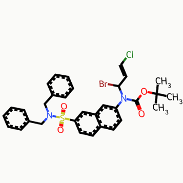 CC(C)(C)OC(=O)N(c1ccc2ccc(S(=O)(=O)N(Cc3ccccc3)Cc3ccccc3)cc2c1)C(Br)C=CCl